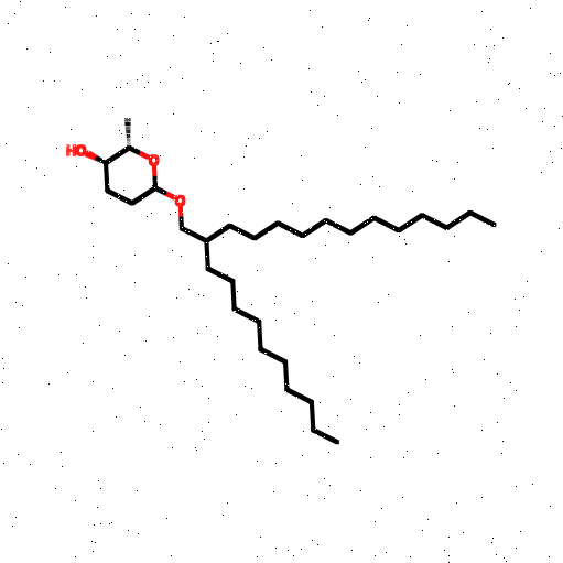 CCCCCCCCCCCCC(CCCCCCCCCC)COC1CC[C@@H](O)[C@H](C)O1